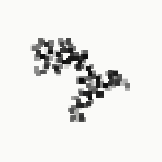 COc1ccc(S(=O)(=O)N(CC(C)C)C[C@@H](O)CNC(=O)c2cc(N)cc(C(=O)N(C)C3CCCCC3)c2)cc1